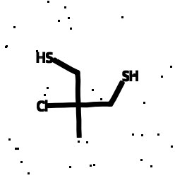 CC(Cl)(CS)CS